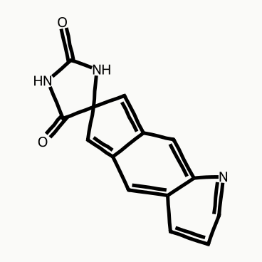 O=C1NC(=O)C2(C=c3cc4cccnc4cc3=C2)N1